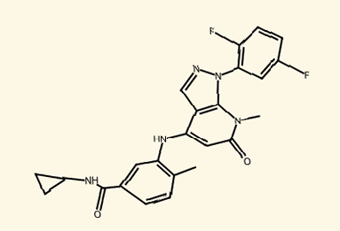 Cc1ccc(C(=O)NC2CC2)cc1Nc1cc(=O)n(C)c2c1cnn2-c1cc(F)ccc1F